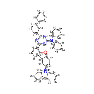 c1ccc(-c2cccc(-c3nc(-c4cccc5c4oc4ccc(-n6c7ccccc7c7ccccc76)cc45)nc(-n4c5ccccc5c5ccccc54)n3)c2)cc1